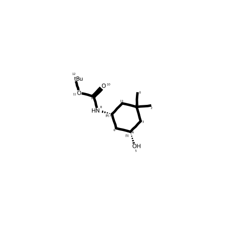 CC1(C)C[C@H](O)C[C@H](NC(=O)OC(C)(C)C)C1